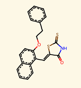 O=C1NC(=S)S/C1=C\c1c(OCCc2ccccc2)ccc2ccccc12